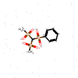 CS(=O)(=O)C(S(C)(=O)=O)S(=O)(=O)c1ccccc1